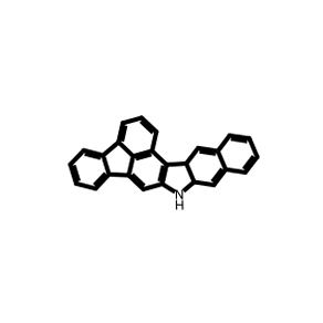 C1=c2ccccc2=CC2c3c(cc4c5c(cccc35)-c3ccccc3-4)NC12